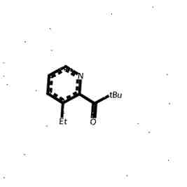 CCc1cccnc1C(=O)C(C)(C)C